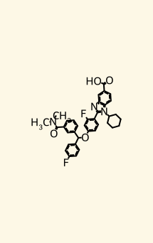 CN(C)C(=O)c1cccc(C(Oc2ccc(-c3nc4cc(C(=O)O)ccc4n3C3CCCCC3)c(F)c2)c2ccc(F)cc2)c1